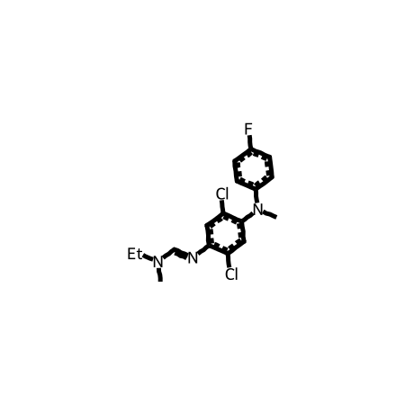 CCN(C)C=Nc1cc(Cl)c(N(C)c2ccc(F)cc2)cc1Cl